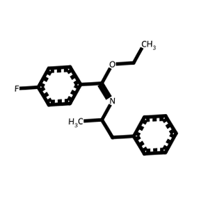 CCO/C(=N/C(C)Cc1ccccc1)c1ccc(F)cc1